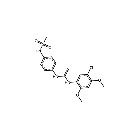 COc1cc(OC)c(NC(=S)Nc2ccc(NS(C)(=O)=O)cc2)cc1Cl